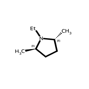 CCN1[C@H](C)CC[C@H]1C